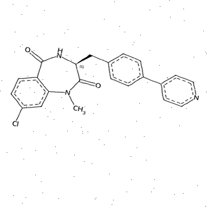 CN1C(=O)[C@H](Cc2ccc(-c3ccncc3)cc2)NC(=O)c2ccc(Cl)cc21